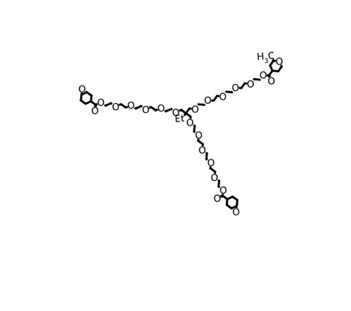 CCC(COCCOCCOCCOCCOCCOC(=O)C1CCOC(C)C1)(COCCOCCOCCOCCOCCOC(=O)C1CCC2OC2C1)COCCOCCOCCOCCOCCOC(=O)C1CCC2OC2C1